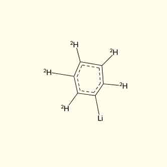 [2H]c1c([2H])c([2H])[c]([Li])c([2H])c1[2H]